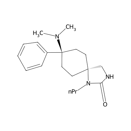 CCCN1C(=O)NC[C@]12CC[C@](c1ccccc1)(N(C)C)CC2